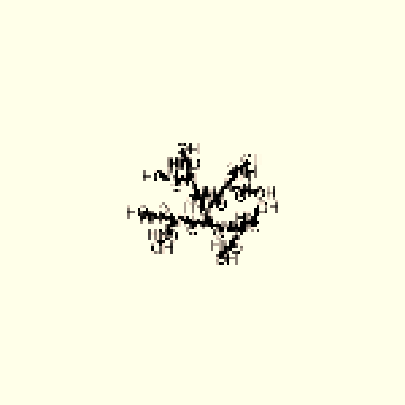 O=C(CCN(CCNC(=O)CCN(CCC(=O)NCCN(CCC(=O)NCCO)CCC(=O)NCCO)CCN(CCC(=O)NCCN(CCC(=O)NCCO)CCC(=O)NCCO)CCC(=O)NCCN(CCC(=O)NCCO)CCC(=O)NCCO)CCC(=O)NCCO)NCCO